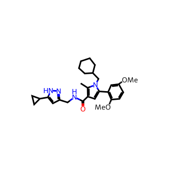 COc1ccc(OC)c(-c2cc(C(=O)NCc3cc(C4CC4)[nH]n3)c(C)n2CC2CCCCC2)c1